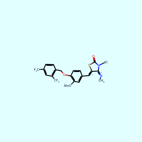 CCN1C(=O)SC(=C\c2ccc(OCc3ccc(C(F)(F)F)cc3C(F)(F)F)c(OC)c2)/C1=N\C